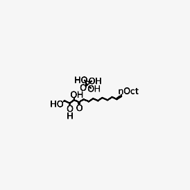 CCCCCCCC/C=C\CCCCCCCC(=O)C(O)C(O)CO.O=P(O)(O)O